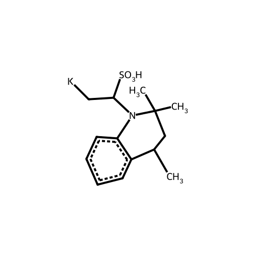 CC1CC(C)(C)N(C([CH2][K])S(=O)(=O)O)c2ccccc21